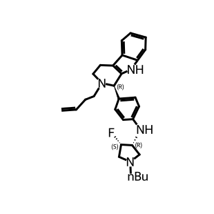 C=CCCN1CCc2c([nH]c3ccccc23)[C@H]1c1ccc(N[C@@H]2CN(CCCC)C[C@@H]2F)cc1